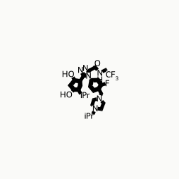 CC(C)c1cc(-c2nnc(C(=O)NCC(F)(F)F)n2-c2ccc(CN3CCN(C(C)C)CC3)c(F)c2)c(O)cc1O